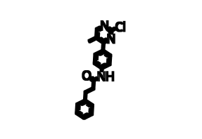 Cc1cnc(Cl)nc1-c1ccc(NC(=O)CCc2ccccc2)cc1